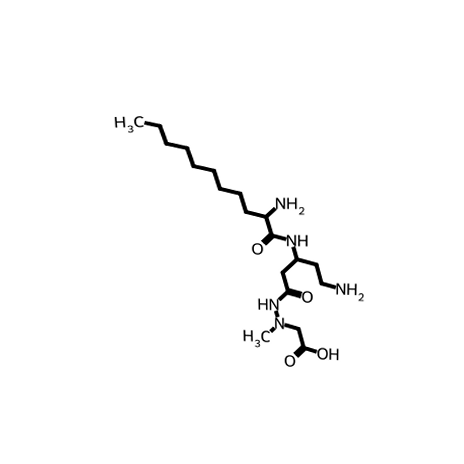 CCCCCCCCCC(N)C(=O)NC(CCN)CC(=O)NN(C)CC(=O)O